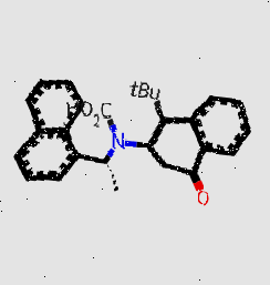 C[C@H](c1cccc2ccccc12)N(C(=O)O)C1CC(=O)c2ccccc2C1C(C)(C)C